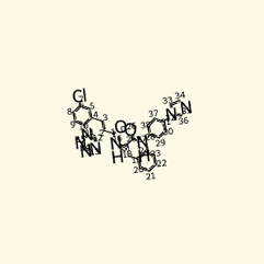 O=C(C=Cc1cc(Cl)ccc1-n1cnnn1)N[C@@H](Cc1ccccc1)C(=O)Nc1ccc(-n2ccnc2)cc1